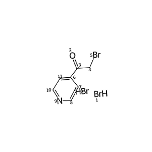 Br.Br.O=C(CBr)c1ccncc1